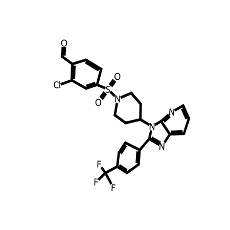 O=Cc1ccc(S(=O)(=O)N2CCC(n3c(-c4ccc(C(F)(F)F)cc4)nc4cccnc43)CC2)cc1Cl